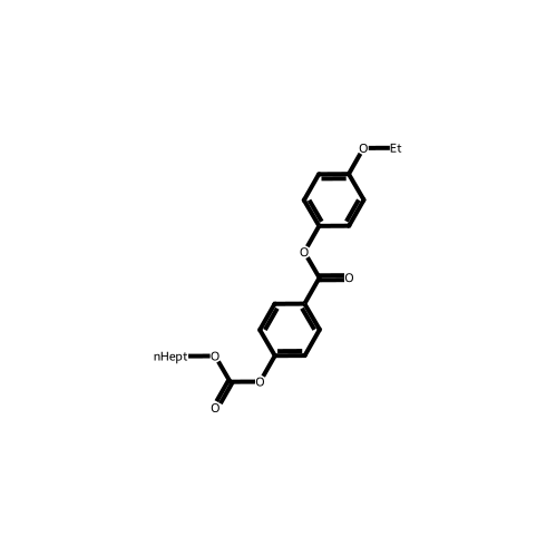 CCCCCCCOC(=O)Oc1ccc(C(=O)Oc2ccc(OCC)cc2)cc1